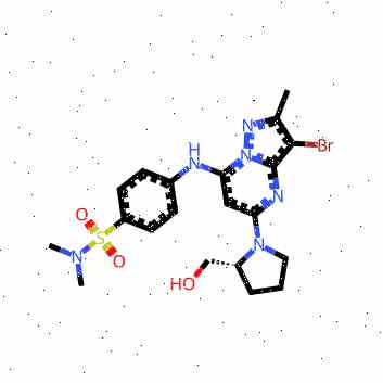 Cc1nn2c(Nc3ccc(S(=O)(=O)N(C)C)cc3)cc(N3CCC[C@@H]3CO)nc2c1Br